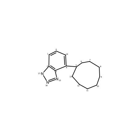 c1cc2c(c(C3CCCCCCCC3)c1)N=N[N]2